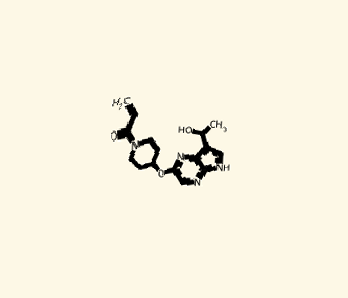 C=CC(=O)N1CCC(Oc2cnc3[nH]cc(C(C)O)c3n2)CC1